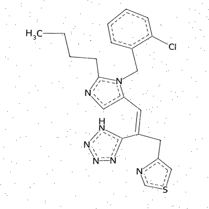 CCCCc1ncc(C=C(Cc2cscn2)c2nnn[nH]2)n1Cc1ccccc1Cl